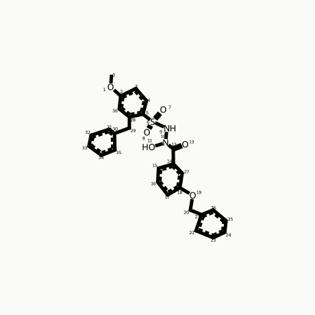 COc1ccc(S(=O)(=O)NN(O)C(=O)c2cccc(OCc3ccccc3)c2)c(Cc2ccccc2)c1